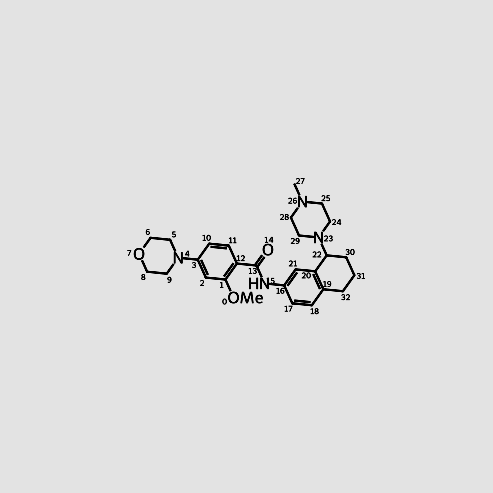 COc1cc(N2CCOCC2)ccc1C(=O)Nc1ccc2c(c1)C(N1CCN(C)CC1)CCC2